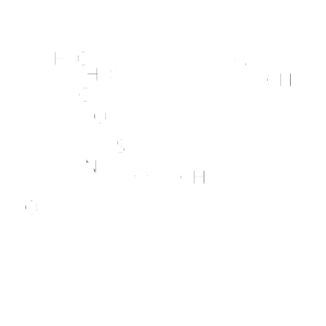 COCC1COc2ccccc2N1S(=O)(=O)c1c(C)cc(OC)cc1C